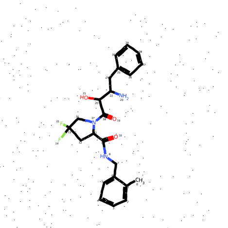 Cc1ccccc1CNC(=O)C1CC(F)(F)CN1C(=O)C(O)C(N)Cc1ccccc1